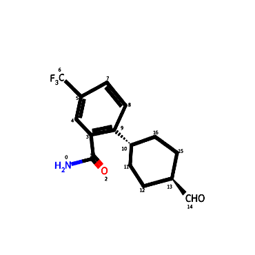 NC(=O)c1cc(C(F)(F)F)ccc1[C@H]1CC[C@H](C=O)CC1